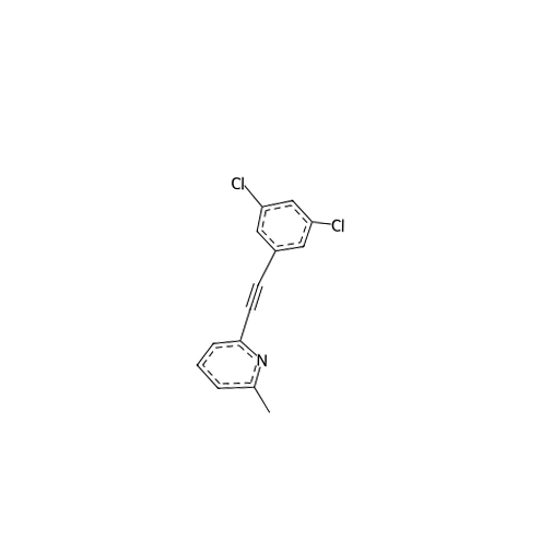 Cc1cccc(C#Cc2cc(Cl)cc(Cl)c2)n1